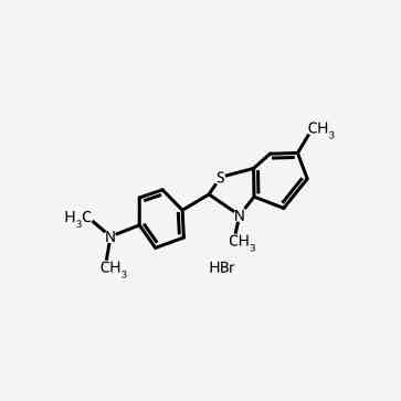 Br.Cc1ccc2c(c1)SC(c1ccc(N(C)C)cc1)N2C